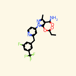 CCC(=O)Oc1c(C(N)=O)c(C)nn1-c1ccnc(Cc2cc(F)cc(C(F)(F)F)c2)c1